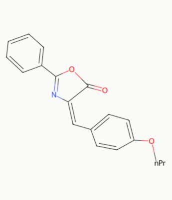 CCCOc1ccc(C=C2N=C(c3ccccc3)OC2=O)cc1